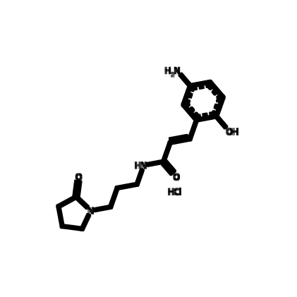 Cl.Nc1ccc(O)c(C=CC(=O)NCCCN2CCCC2=O)c1